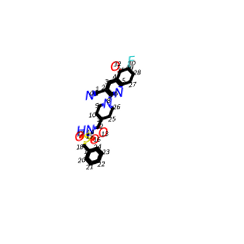 N#Cc1cc2c(nc1N1CCC(C(=O)NS(=O)(=O)Cc3ccccc3)CC1)CCC(F)C2=O